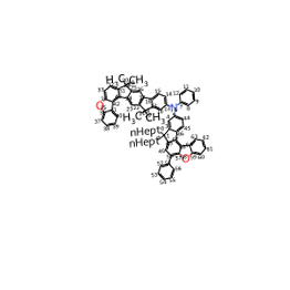 CCCCCCCC1(CCCCCCC)c2cc(N(c3ccccc3)c3ccc4c(c3)C(C)(C)c3cc5c(cc3-4)C(C)(C)c3ccc4oc6ccccc6c4c3-5)ccc2-c2c1cc(-c1ccccc1)c1oc3ccccc3c21